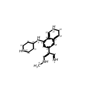 CN/C=C(\C=N)c1cc(NC2CCNCC2)c2c(c1)=CCNC=2